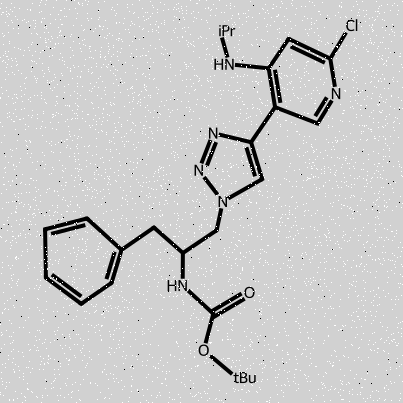 CC(C)Nc1cc(Cl)ncc1-c1cn(CC(Cc2ccccc2)NC(=O)OC(C)(C)C)nn1